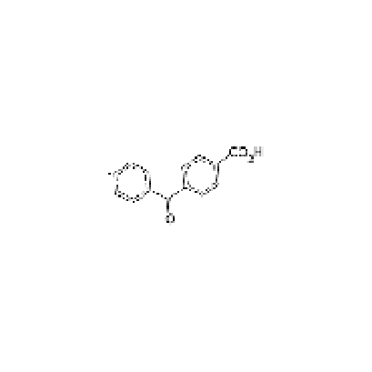 O=C(O)c1ccc(C(=O)c2cc[c]cc2)cc1